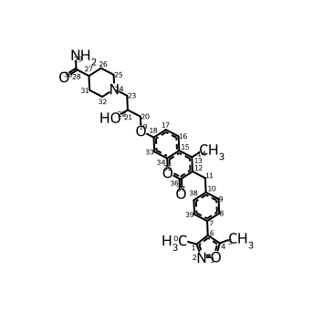 Cc1noc(C)c1-c1ccc(Cc2c(C)c3ccc(OCC(O)CN4CCC(C(N)=O)CC4)cc3oc2=O)cc1